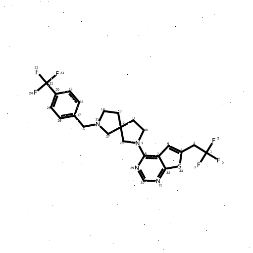 FC(F)(F)Cc1cc2c(N3CCC4(CCN(Cc5ccc(C(F)(F)F)cc5)C4)C3)ncnc2s1